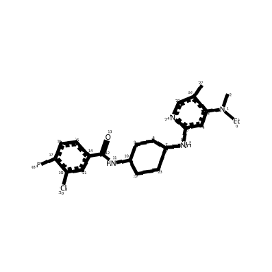 CCN(C)c1cc(NC2CCC(NC(=O)c3ccc(F)c(Cl)c3)CC2)ncc1C